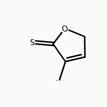 [CH2]C1=CCOC1=S